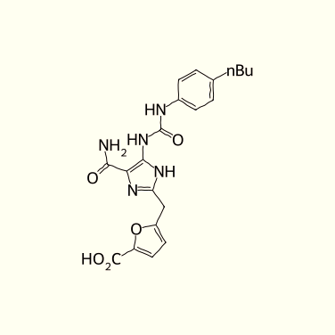 CCCCc1ccc(NC(=O)Nc2[nH]c(Cc3ccc(C(=O)O)o3)nc2C(N)=O)cc1